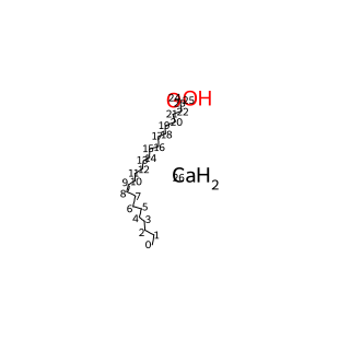 CCCCCCCC/C=C\CCCCCCCCCCCCCC(=O)O.[CaH2]